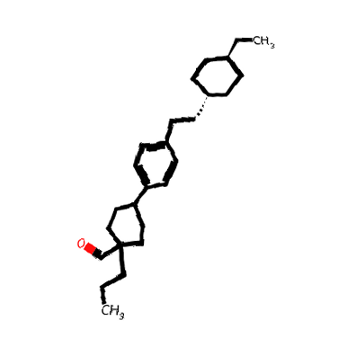 CCCC1(C=O)CCC(c2ccc(CC[C@H]3CC[C@H](CC)CC3)cc2)CC1